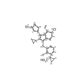 CCn1cc(-n2c(C3CC3)c(Sc3cccc(C4(C(=O)O)CC4)c3F)c3ccc(Cl)c(F)c32)cn1